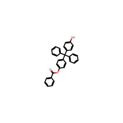 O=C(Oc1ccc(C(c2ccccc2)(c2ccccc2)c2ccc(O)cc2)cc1)c1ccccc1